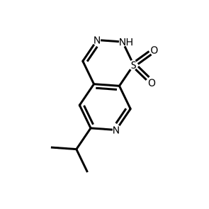 CC(C)c1cc2c(cn1)S(=O)(=O)NN=C2